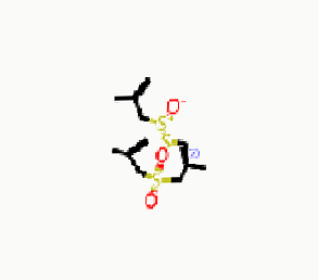 C=C(C)C[S+]([O-])S/C=C(/C)CS(=O)(=O)CC(=C)C